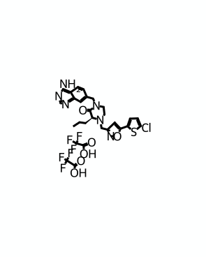 CCC[C@H]1C(=O)N(Cc2ccc3c(N)ncnc3c2)CCN1Cc1cc(-c2ccc(Cl)s2)on1.O=C(O)C(F)(F)F.O=C(O)C(F)(F)F